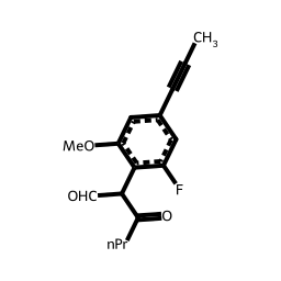 CC#Cc1cc(F)c(C(C=O)C(=O)CCC)c(OC)c1